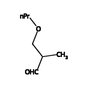 CCCOCC(C)C=O